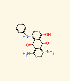 Nc1ccc(N)c2c1C(=O)c1c(O)ccc(Nc3ccccc3)c1C2=O